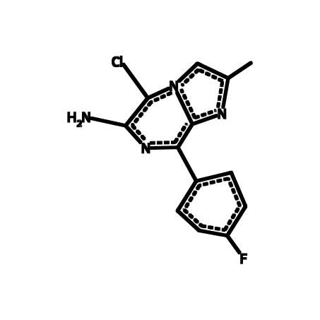 Cc1cn2c(Cl)c(N)nc(-c3ccc(F)cc3)c2n1